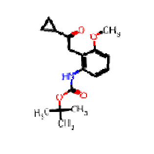 COc1cccc(NC(=O)OC(C)(C)C)c1CC(=O)C1CC1